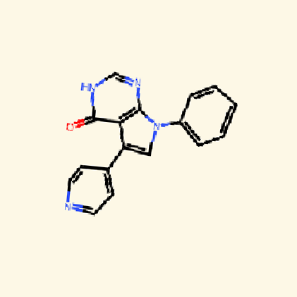 O=c1[nH]cnc2c1c(-c1ccncc1)cn2-c1ccccc1